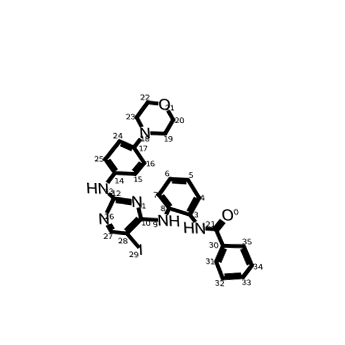 O=C(Nc1ccccc1Nc1nc(Nc2ccc(N3CCOCC3)cc2)ncc1I)c1ccccc1